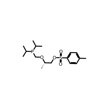 Cc1ccc(S(=O)(=O)OC[C@H](C)OCP(C(C)C)C(C)C)cc1